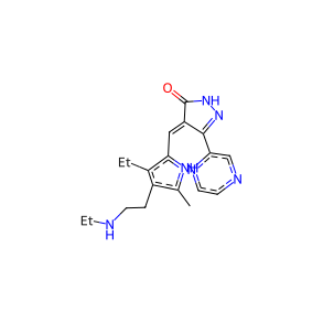 CCNCCc1c(C)[nH]c(/C=C2/C(=O)NN=C2c2cnccn2)c1CC